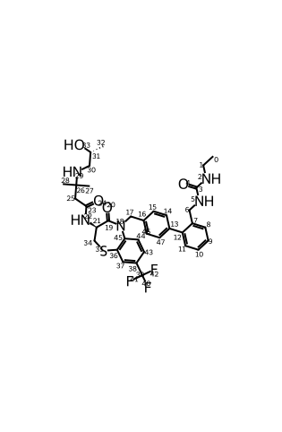 CCNC(=O)NCc1ccccc1-c1ccc(CN2C(=O)[C@H](NC(=O)CC(C)(C)NC[C@@H](C)O)CSc3cc(C(F)(F)F)ccc32)cc1